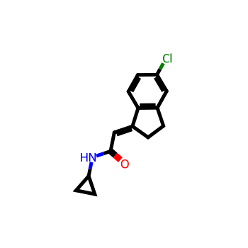 O=C(C=C1CCc2cc(Cl)ccc21)NC1CC1